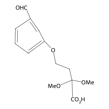 COC(CCOc1cccc(C=O)c1)(OC)C(=O)O